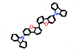 C1=CC2c3cc(N4c5ccccc5C5C=CC=CC54)ccc3OC2C(c2cccc3c2oc2ccc(-n4c5ccccc5c5ccccc54)cc23)=C1